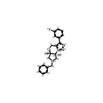 Fc1cccc(-c2nnn3c2CO[C@H]2CN(Cc4ccccc4)C[C@@H]23)c1